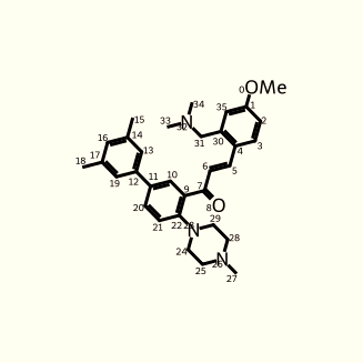 COc1ccc(C=CC(=O)c2cc(-c3cc(C)cc(C)c3)ccc2N2CCN(C)CC2)c(CN(C)C)c1